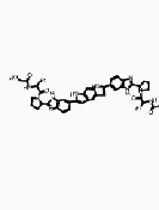 COC(=O)NC(C(=O)N1CCCC1c1nc2ccc(-c3cc4cc5cc(-c6ccc7nc(C8CCCN8C(=O)C(NC(=O)CO)C(C)C)[nH]c7c6)[nH]c5cc4[nH]3)cc2[nH]1)C(C)C